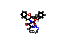 COC(=O)C(Cc1ccccc1)N(C(=O)OCc1ccccc1)C(=O)C(N)CC(=O)O